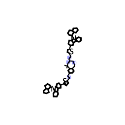 CC1(C)/C=C(/C=C/c2ccc(-c3ccc4c(c3)c3ccccc3n4-c3cccc4ccccc34)s2)\C=C/Cc2ccc(/C=C/c3ccc(-c4ccc5c(c4)c4ccccc4n5-c4cccc5ccccc45)s3)cc21